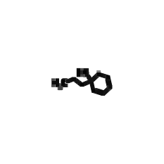 CCCC1(S)[CH]C=CC=C1